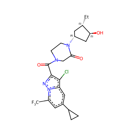 CC[C@H]1C[C@@H](N2CCN(C(=O)c3nn4c(C(F)(F)F)cc(C5CC5)cc4c3Cl)CC2=O)C[C@@H]1O